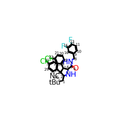 CC(C)(C)CC1NC(C(=O)NCc2ccc(F)c(F)c2)C(c2cccc(Cl)c2)C1(C#N)c1ccc(Cl)cc1